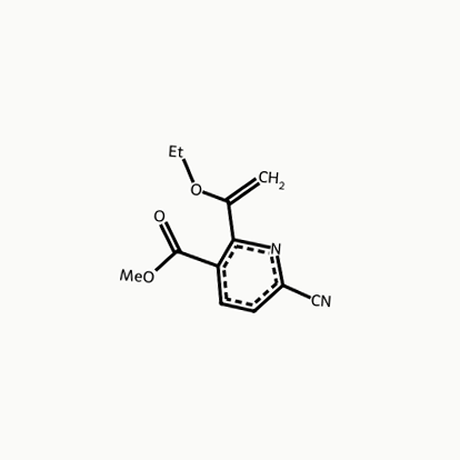 C=C(OCC)c1nc(C#N)ccc1C(=O)OC